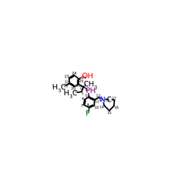 CCC(C)(Pc1ccc(F)cc1CN1CCCCC1)c1cc(C)ccc1O